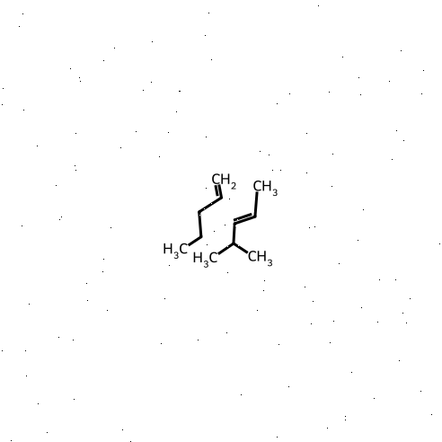 C=CCCC.CC=CC(C)C